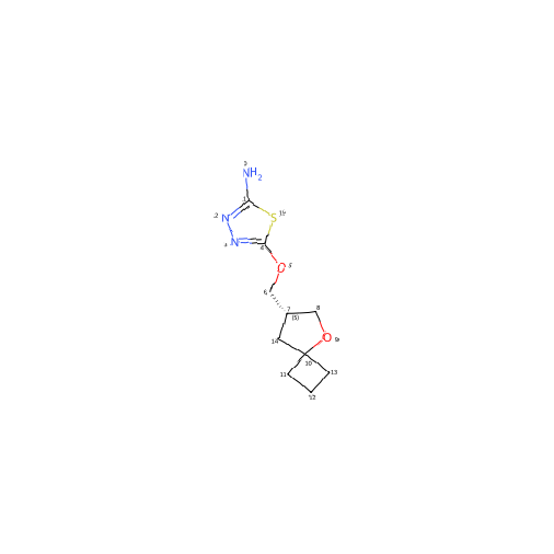 Nc1nnc(OC[C@@H]2COC3(CCC3)C2)s1